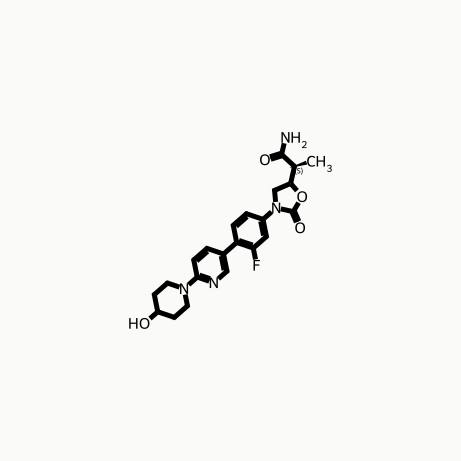 C[C@H](C(N)=O)C1CN(c2ccc(-c3ccc(N4CCC(O)CC4)nc3)c(F)c2)C(=O)O1